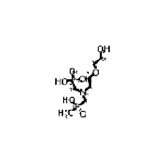 CP(=O)(O)CN(CCOCCO)CP(=O)(O)O